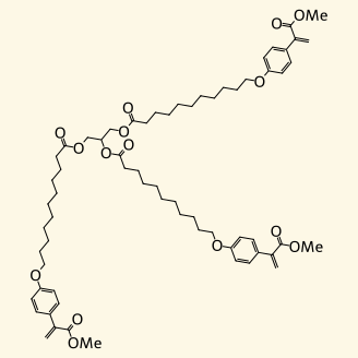 C=C(C(=O)OC)c1ccc(OCCCCCCCCCCC(=O)OCC(COC(=O)CCCCCCCCCCOc2ccc(C(=C)C(=O)OC)cc2)OC(=O)CCCCCCCCCCOc2ccc(C(=C)C(=O)OC)cc2)cc1